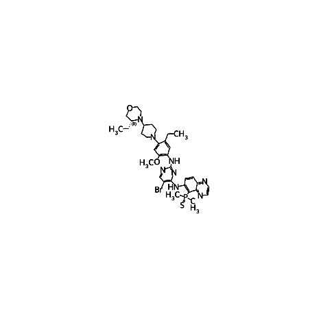 CCc1cc(Nc2ncc(Br)c(Nc3ccc4nccnc4c3P(C)(C)=S)n2)c(OC)cc1N1CCC(N2CCOC[C@H]2CC)CC1